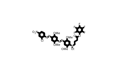 CCN(CCCC(=O)Oc1c(F)c(F)c(F)c(F)c1F)c1cc(OC)c(N=Nc2cc(OC)c(N=Nc3ccc([N+](=O)[O-])cc3Cl)cc2OC)cc1OC